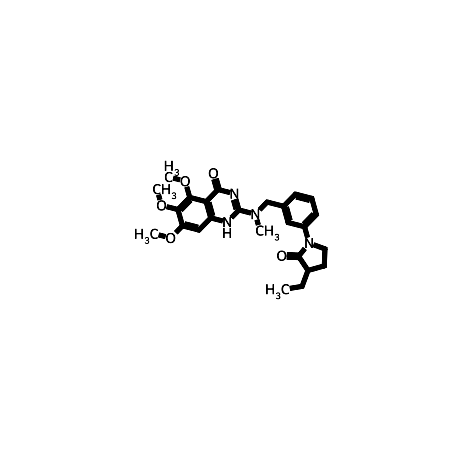 CCC1CCN(c2cccc(CN(C)c3nc(=O)c4c(OC)c(OC)c(OC)cc4[nH]3)c2)C1=O